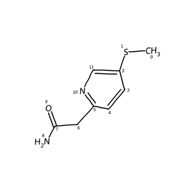 CSc1ccc(CC(N)=O)nc1